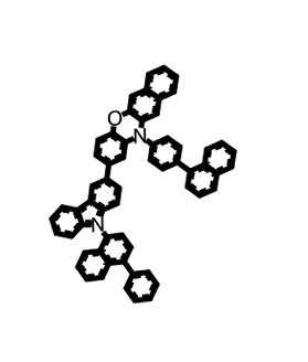 c1ccc(-c2ccc(-n3c4ccccc4c4cc(-c5ccc6c(c5)N(c5ccc(-c7cccc8ccccc78)cc5)c5cc7ccccc7cc5O6)ccc43)c3ccccc23)cc1